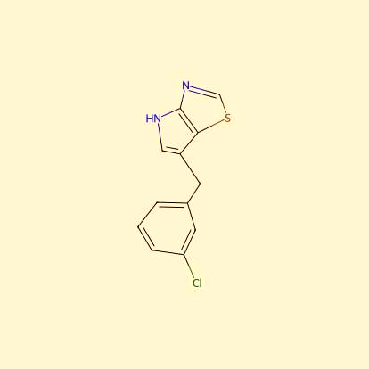 Clc1cccc(Cc2c[nH]c3ncsc23)c1